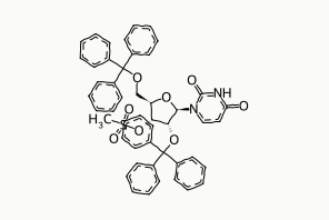 CS(=O)(=O)O[C@H]1[C@@H](OC(c2ccccc2)(c2ccccc2)c2ccccc2)[C@H](n2ccc(=O)[nH]c2=O)O[C@@H]1COC(c1ccccc1)(c1ccccc1)c1ccccc1